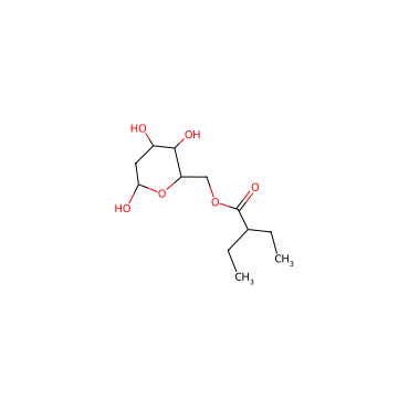 CCC(CC)C(=O)OCC1OC(O)CC(O)C1O